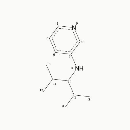 CC(C)C(Nc1cccnc1)C(C)C